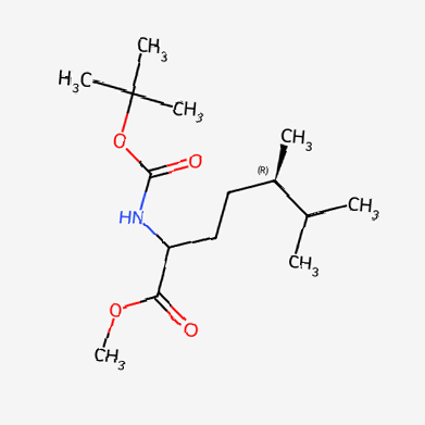 COC(=O)C(CC[C@@H](C)C(C)C)NC(=O)OC(C)(C)C